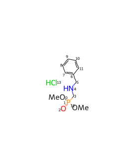 COP(=O)(CNCc1ccccc1)OC.Cl